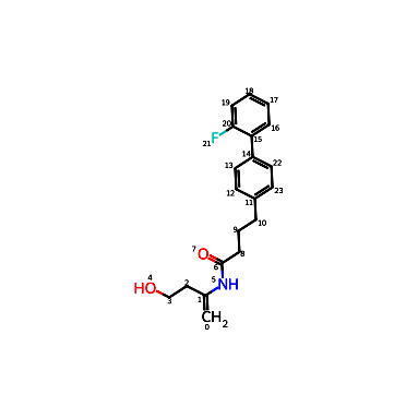 C=C(CCO)NC(=O)CCCc1ccc(-c2ccccc2F)cc1